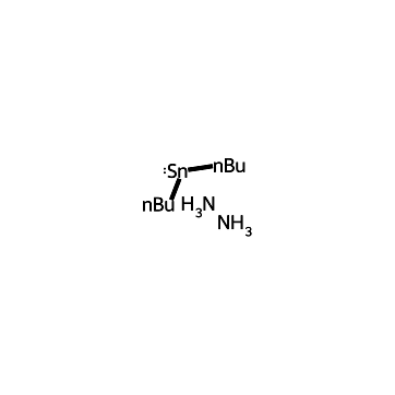 CCC[CH2][Sn][CH2]CCC.N.N